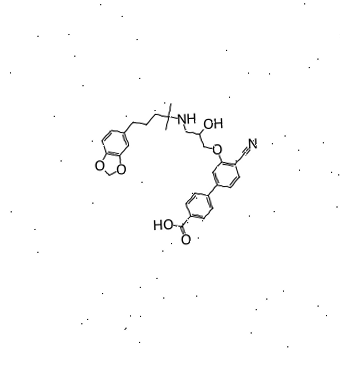 CC(C)(CCCc1ccc2c(c1)OCO2)NCC(O)COc1cc(-c2ccc(C(=O)O)cc2)ccc1C#N